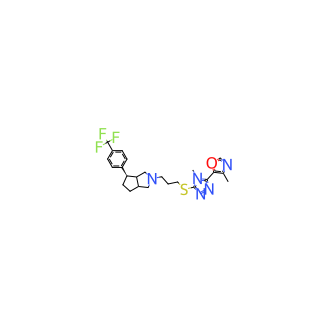 Cc1ncoc1-c1nnc(SCCCN2CC3CC[C@@H](c4ccc(C(F)(F)F)cc4)C3C2)n1C